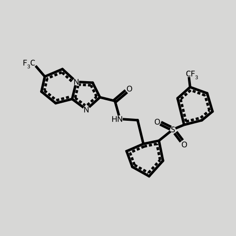 O=C(NCc1ccccc1S(=O)(=O)c1cccc(C(F)(F)F)c1)c1cn2cc(C(F)(F)F)ccc2n1